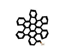 SC=C1CC=Cc2c1c1c3ccccc3c3c4ccccc4c4c5ccccc5c5c6ccccc6c6c7ccccc7c2c2c1c3c4c5c62